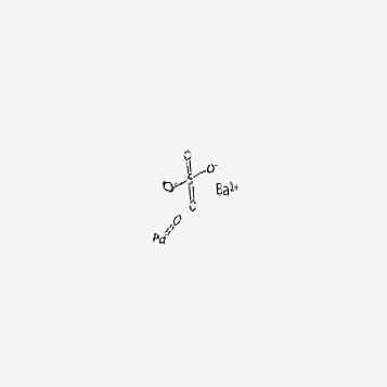 O=S(=O)([O-])[O-].[Ba+2].[O]=[Pd]